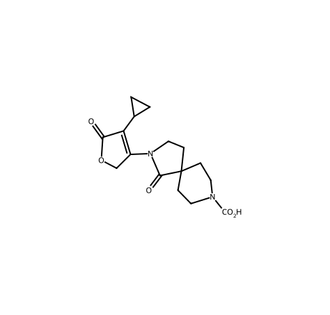 O=C1OCC(N2CCC3(CCN(C(=O)O)CC3)C2=O)=C1C1CC1